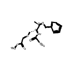 C[C@@H](OCc1ccccc1)[C@@H](COCC(=O)OC(C)(C)C)NC(=O)C(C)(C)C